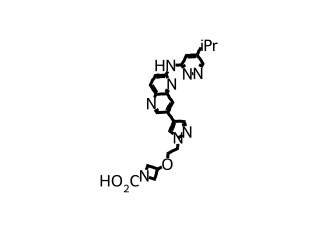 CC(C)c1cnnc(Nc2ccc3ncc(-c4cnn(CCOC5CN(C(=O)O)C5)c4)cc3n2)c1